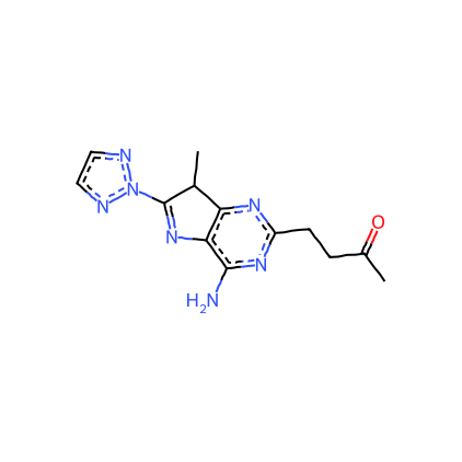 CC(=O)CCc1nc(N)c2c(n1)C(C)C(n1nccn1)=N2